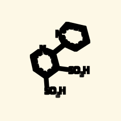 O=S(=O)(O)c1ccnc(-c2ccccn2)c1S(=O)(=O)O